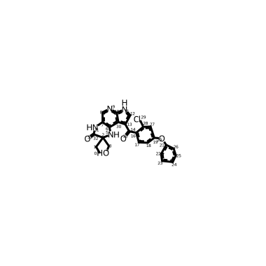 CCC1(CO)Nc2c(cnc3[nH]cc(C(=O)c4ccc(Oc5ccccc5)cc4Cl)c23)NC1=O